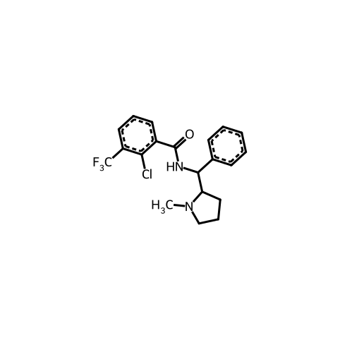 CN1CCCC1C(NC(=O)c1cccc(C(F)(F)F)c1Cl)c1ccccc1